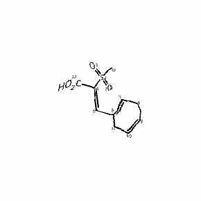 CS(=O)(=O)C(=CC1=CCC=CC1)C(=O)O